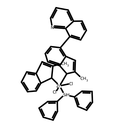 CC1=Cc2ccccc2[CH]1[Zr]([Cl])([Cl])([CH]1C(C)=Cc2c(-c3cccc4cccnc34)cccc21)[SiH](c1ccccc1)c1ccccc1